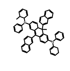 CC1C=CC=CC1N(C1=CC2=C(c3ccc4ccccc4c3)c3ccc(N(C4=CC=CCC4)c4ccccc4)cc3C(C)(c3ccc4ccccc4c3)C2C=C1)c1ccccc1